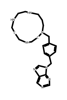 c1ncc2ncn(Cc3ccc(CN4CCCNCCNCCCNCC4)cc3)c2n1